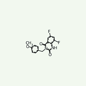 COc1ccc(Cn2c(=O)[nH]c3c(F)cc(F)cc3c2=O)cc1